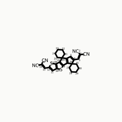 N#CC(C#N)=CC1=CC2=C(c3sc4cc(C=C(C#N)C#N)sc4c3C23CCCCC3)C12CCCCC2